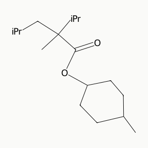 CC(C)CC(C)(C(=O)OC1CCC(C)CC1)C(C)C